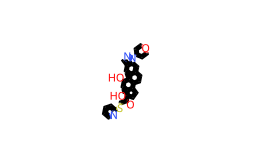 CC12Cc3cnn(C4CCOCC4)c3C=C1CCC1C2[C@@H](O)CC2(C)C1CC[C@]2(O)C(=O)CSc1ccccn1